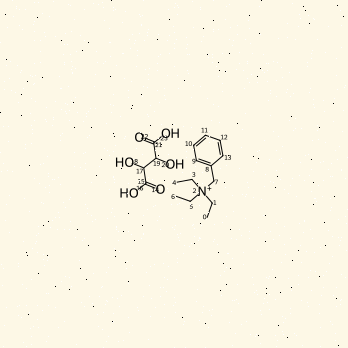 CC[N+](CC)(CC)Cc1ccccc1.O=C(O)C(O)C(O)C(=O)O